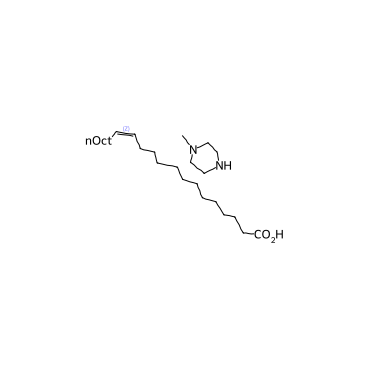 CCCCCCCC/C=C\CCCCCCCCCCCC(=O)O.CN1CCNCC1